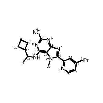 CC(C)c1ccnc(-c2nc3nc(C#N)nc(NC(C)C4CCC4)c3n2C)c1